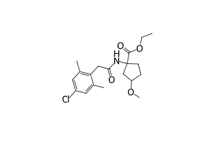 CCOC(=O)C1(NC(=O)Cc2c(C)cc(Cl)cc2C)CCC(OC)C1